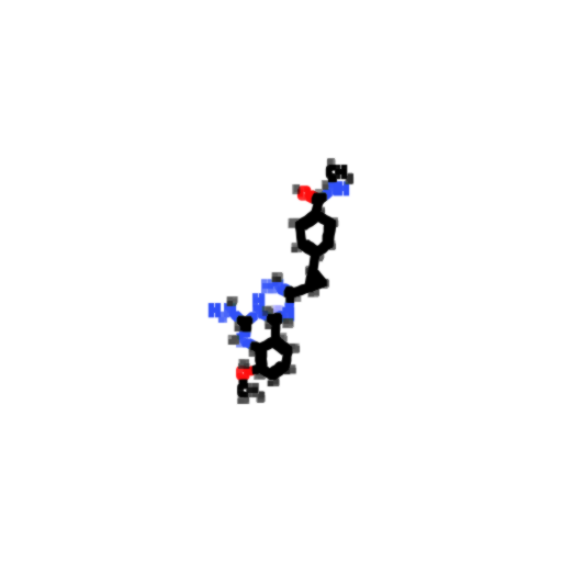 CNC(=O)c1ccc(C2CC2C(=N)/N=c2\[nH]c(N)nc3c(OC)cccc23)cc1